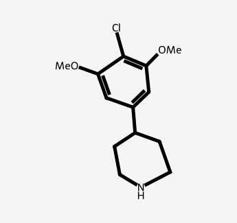 COc1cc(C2CCNCC2)cc(OC)c1Cl